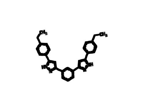 CCc1ccc(-c2cc(-c3cccc(-c4cc(-c5ccc(CC)cc5)[nH]n4)c3)n[nH]2)cc1